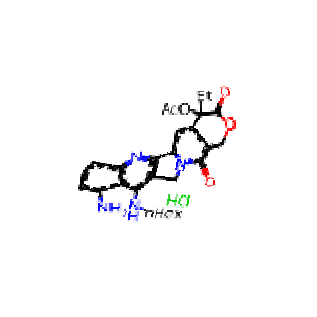 CCCCCCNc1c2c(nc3cccc(N)c13)-c1cc3c(c(=O)n1C2)COC(=O)[C@@]3(CC)OC(C)=O.Cl